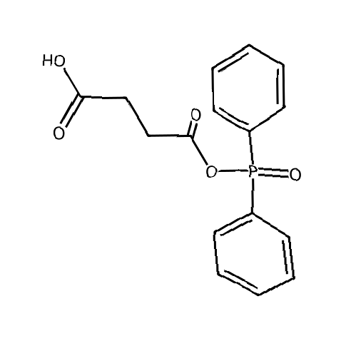 O=C(O)CCC(=O)OP(=O)(c1ccccc1)c1ccccc1